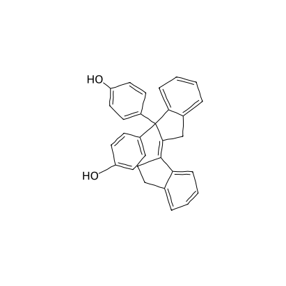 Oc1ccc(C2(c3ccc(O)cc3)/C(=C3\CCc4ccccc43)Cc3ccccc32)cc1